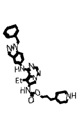 CCc1c(NC(=O)OCCCC2CCNCC2)cn2ncnc(Nc3ccc4c(cnn4Cc4ccccc4)c3)c12